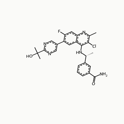 Cc1nc2cc(F)c(-c3cnc(C(C)(C)O)nc3)cc2c(N[C@H](C)c2cccc(C(N)=O)c2)c1Cl